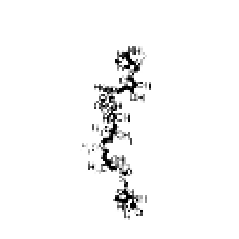 CN(CCC(C)(C)CNC(=O)SC[C@@H]1SC[C@@H]2NC(=O)N[C@@H]21)CCC(C)(C)CNP(=O)(O)OP(=O)(O)OP(=O)(O)OCC1OC(n2cnc3c(N)ncnc32)C(O)C1O